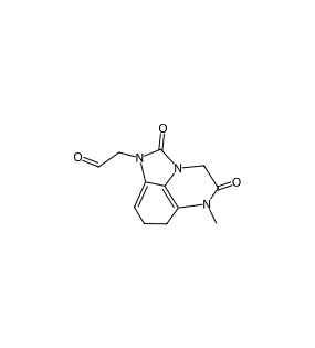 CN1C(=O)Cn2c3c(n(CC=O)c2=O)=CCCC=31